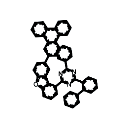 c1ccc(-c2nc(-c3ccccc3-c3ccccc3)nc(-c3cccc4oc5ccc(-c6ccc7c8ccccc8c8ccccc8c7c6)cc5c34)n2)cc1